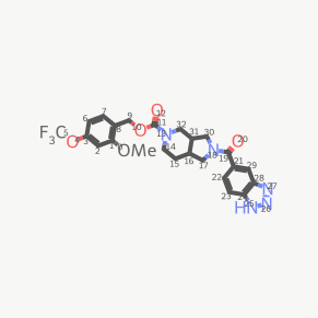 COc1cc(OC(F)(F)F)ccc1COC(=O)N1CCC2CN(C(=O)c3ccc4[nH]nnc4c3)CC2C1